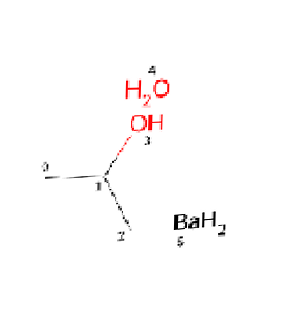 CC(C)O.O.[BaH2]